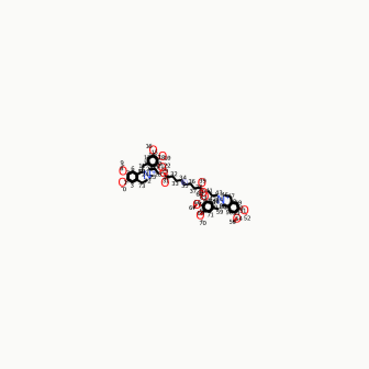 COc1cc2c(cc1OC)[C@@H](Cc1cc(OC)c(OC)c(OC)c1)[N+](C)(CCCOC(=O)CC/C=C/CCC(=O)OCCC[N+]1(C)CCc3cc(OC)c(OC)cc3[C@@H]1Cc1cc(OC)c(OC)c(OC)c1)CC2